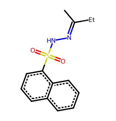 CCC(C)=NNS(=O)(=O)c1cccc2ccccc12